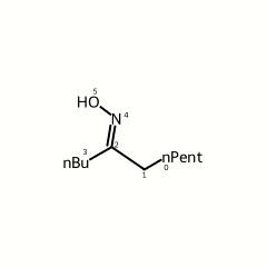 CCCCCCC(CCCC)=NO